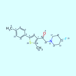 Cc1ccc(-c2cc(C(=O)CN3CCC(F)CC3)c(C)s2)cc1